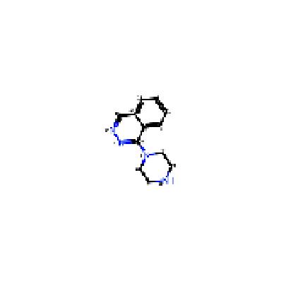 c1ccc2c(N3CCNCC3)nncc2c1